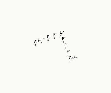 [Al+3].[Ca+2].[F-].[F-].[F-].[F-].[F-].[F-].[Li+]